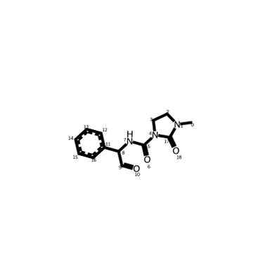 CN1CCN(C(=O)NC([C]=O)c2ccccc2)C1=O